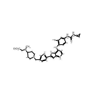 CCOC(=O)CN(C)C1CCN(Cc2ccc(-c3cc4nccc(Oc5ccc(NC(=O)NC6CC6)cc5F)c4s3)nc2)CC1